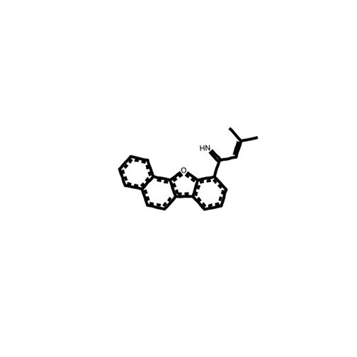 CC(C)=CC(=N)c1cccc2c1oc1c3ccccc3ccc21